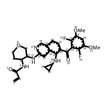 C=CC(=O)NC1CCOCC1Nc1cc2c(NC3CC3)c(C(=O)c3c(F)c(OC)cc(OC)c3F)ccc2cn1